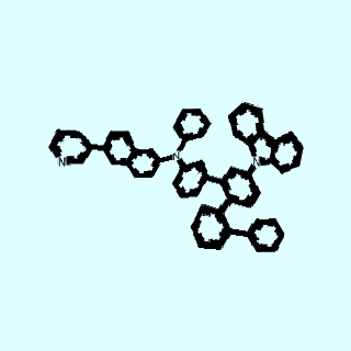 c1ccc(-c2ccccc2-c2ccc(-n3c4ccccc4c4ccccc43)cc2-c2cccc(N(c3ccccc3)c3ccc4cc(-c5cccnc5)ccc4c3)c2)cc1